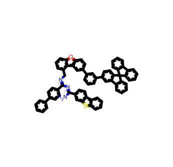 N/C(=N\C(=N/Cc1cccc2oc3ccc(-c4cccc(-c5ccc6c(c5)-c5ccccc5C65c6ccccc6-c6ccccc65)c4)cc3c12)c1ccc(-c2ccccc2)cc1)c1ccc2c(c1)sc1ccccc12